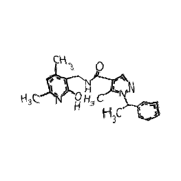 Cc1cc(C)c(CNC(=O)c2cnn([C@H](C)c3ccccc3)c2C)c(O)n1